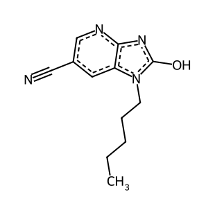 CCCCCn1c(O)nc2ncc(C#N)cc21